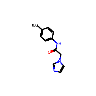 CC(C)(C)c1ccc(NC(=O)Cn2ccnc2)cc1